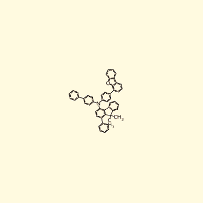 CC1(C)c2ccccc2-c2c(N(c3ccc(-c4ccccc4)cc3)c3ccc(-c4cccc5c4oc4ccccc45)cc3)ccc(-c3ccccc3)c21